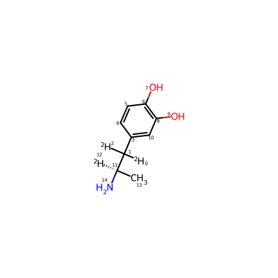 [2H]C([2H])(c1ccc(O)c(O)c1)[C@@]([2H])(C)N